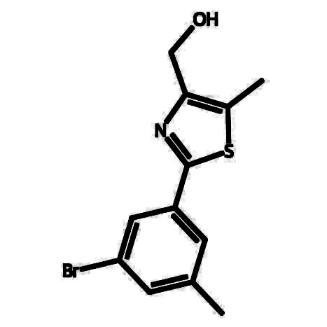 Cc1cc(Br)cc(-c2nc(CO)c(C)s2)c1